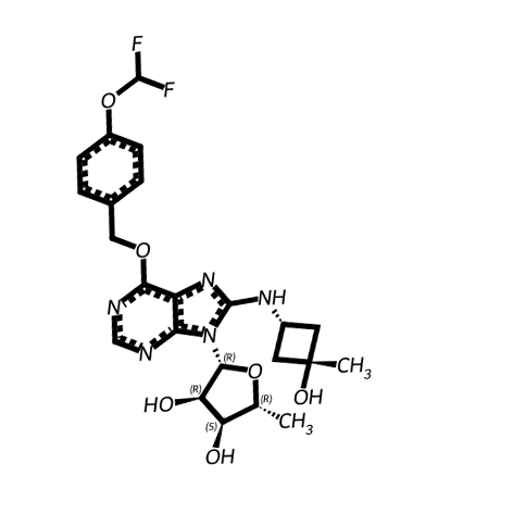 C[C@H]1O[C@@H](n2c(N[C@H]3C[C@@](C)(O)C3)nc3c(OCc4ccc(OC(F)F)cc4)ncnc32)[C@H](O)[C@@H]1O